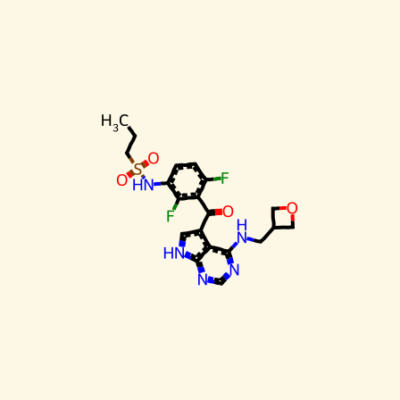 CCCS(=O)(=O)Nc1ccc(F)c(C(=O)c2c[nH]c3ncnc(NCC4COC4)c23)c1F